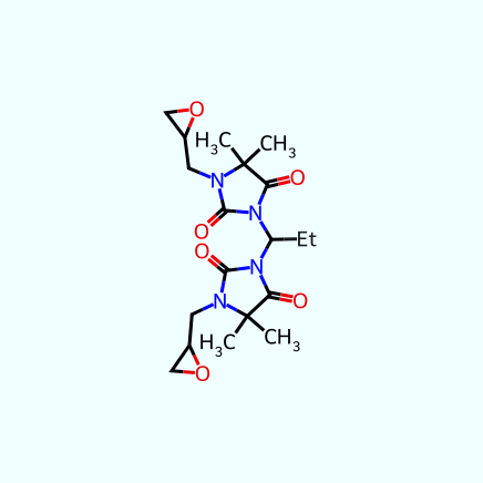 CCC(N1C(=O)N(CC2CO2)C(C)(C)C1=O)N1C(=O)N(CC2CO2)C(C)(C)C1=O